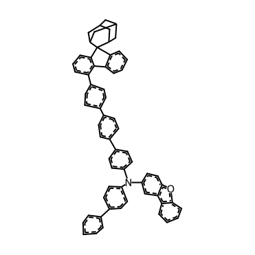 c1ccc(-c2ccc(N(c3ccc(-c4ccc(-c5ccc(-c6cccc7c6-c6ccccc6C76C7CC8CC(C7)CC6C8)cc5)cc4)cc3)c3ccc4oc5ccccc5c4c3)cc2)cc1